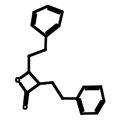 O=C1OC(CCc2ccccc2)C1CCc1ccccc1